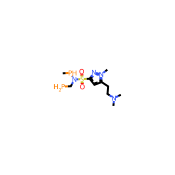 CPN(CP)S(=O)(=O)c1cc(CCN(C)C)n(C)n1